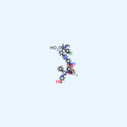 Cc1c(C(=O)O)c(-c2cccc(N3CCN(c4ccc(NS(=O)(=O)c5ccc(NC(CCN6CCC(O)CC6)CSc6ccccc6)c(S(=O)(=O)C(F)(F)F)c5)cc4)CC3)c2)c(-c2ccc(Cl)cc2)n1C(C)C